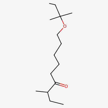 CCC(C)C(=O)CCCCCOC(C)(C)CC